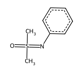 CS(C)(=O)=Nc1ccccc1